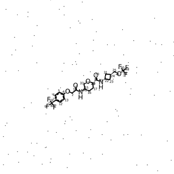 O=C(COc1ccc(C(F)(F)F)cc1)N[C@@H]1CC[C@@H](C(=O)N[C@H]2C[C@H](COC(F)(F)F)C2)OC1